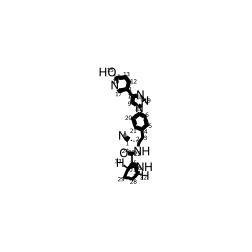 N#C[C@H](Cc1ccc(-n2cc(-c3ccc(O)nc3)nn2)cc1)NC(=O)[C@H]1N[C@@H]2CC[C@H]1C2